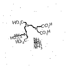 N.N.N.N.N.O=C(O)CN(CCN(CC(=O)O)CC(=O)O)CCN(CC(=O)O)CC(=O)O